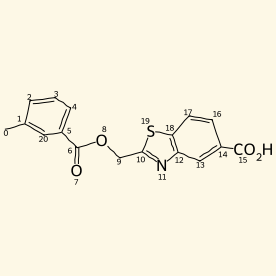 Cc1cccc(C(=O)OCc2nc3cc(C(=O)O)ccc3s2)c1